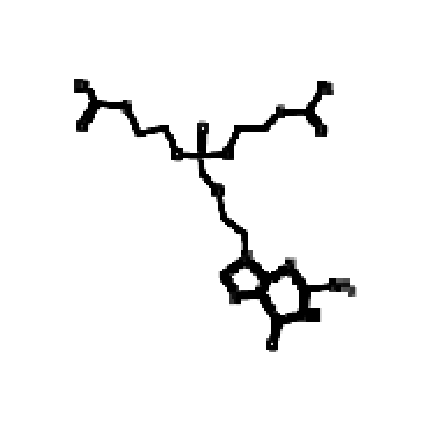 CCC(=O)SCCOP(=O)(COCCn1cnc2c(=O)[nH]c(N)nc21)OCCSC(=O)CC